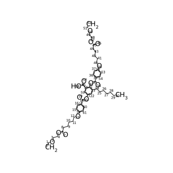 C=COCCOC(=O)CCCCCOc1ccc(C(=O)Oc2cc(CCCCCCC)c(OC(=O)c3ccc(OCCCCCC(=O)OCCOC=C)cc3)c(C(=O)O)c2)cc1